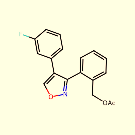 CC(=O)OCc1ccccc1-c1nocc1-c1cccc(F)c1